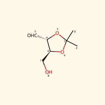 CC1(C)O[C@@H](C=O)[C@H](CO)O1